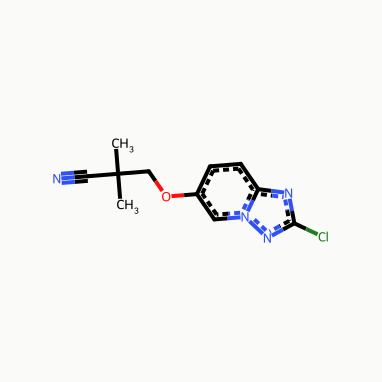 CC(C)(C#N)COc1ccc2nc(Cl)nn2c1